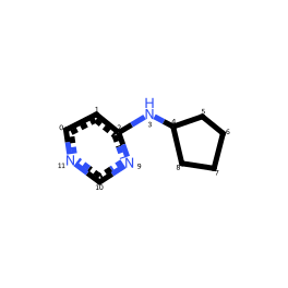 c1cc(NC2CCCC2)ncn1